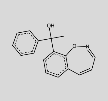 CC(O)(c1ccccc1)c1cccc2c1ON=CC=C2